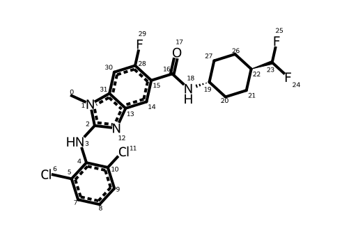 Cn1c(Nc2c(Cl)cccc2Cl)nc2cc(C(=O)N[C@H]3CC[C@H](C(F)F)CC3)c(F)cc21